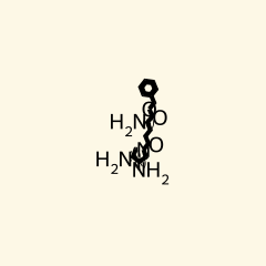 N[C@@H]1CN(C(=O)CC[C@H](N)C(=O)OCc2ccccc2)C[C@@H]1N